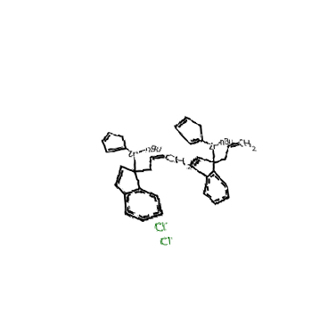 C=CC[C]1([Zr+]([CH2]CCC)[C]2=CC=CC2)C=Cc2ccccc21.C=CC[C]1([Zr+]([CH2]CCC)[C]2=CC=CC2)C=Cc2ccccc21.[Cl-].[Cl-]